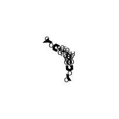 O=S(=O)(NS(=O)(=O)C(F)(F)S(=O)(=O)N1CCC(OCC2CO2)CC1)C(F)(F)S(=O)(=O)N1CCC(OCC2CO2)CC1